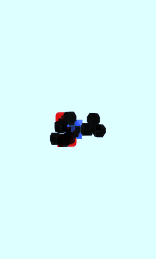 c1ccc(-c2cccc(-c3nc(-c4ccc5c6ccccc6c6ccccc6c5c4)nc(-c4cccc5oc6cccc(-c7cccc8oc9ccccc9c78)c6c45)n3)c2)cc1